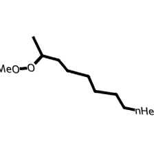 CCCCCCCCCCCCC(C)OOC